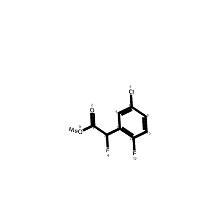 COC(=O)C(F)c1cc(Cl)ccc1F